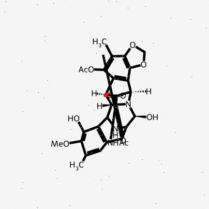 COc1c(C)cc2c(c1O)C1NC(C2)[C@H](O)N2[C@H]1[C@@H]1SCC(NC(C)=O)C(=O)OC[C@H]2c2c3c(c(C)c(OC(C)=O)c21)OCO3